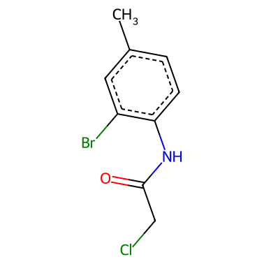 Cc1ccc(NC(=O)CCl)c(Br)c1